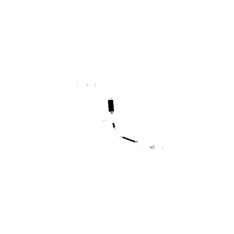 O.[O]=[La][O][La]=[O]